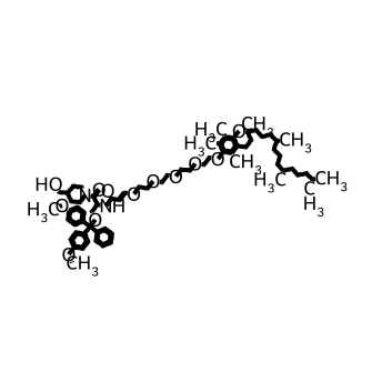 COc1ccc(C(OCC(NC(=O)C=COCCOCCOCCOCCOc2c(C)c(C)c3c(c2C)CC[C@@](C)(CCCC(C)CCCC(C)CCCC(C)C)O3)C(=O)N2CCC(CO)CC2)(c2ccccc2)c2ccc(OC)cc2)cc1